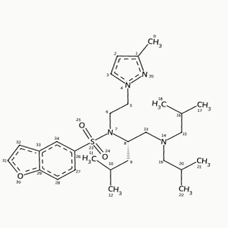 Cc1ccn(CCN([C@@H](CC(C)C)CN(CC(C)C)CC(C)C)S(=O)(=O)c2ccc3occc3c2)n1